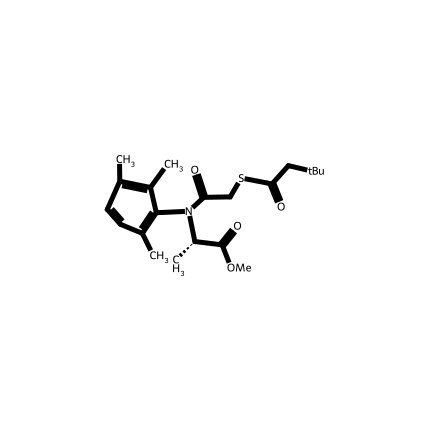 COC(=O)[C@H](C)N(C(=O)CSC(=O)CC(C)(C)C)c1c(C)ccc(C)c1C